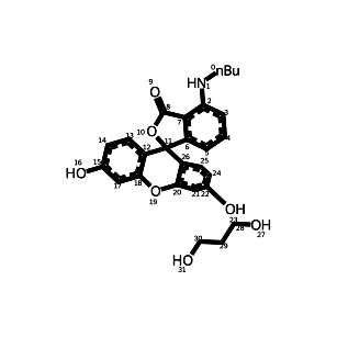 CCCCNc1cccc2c1C(=O)OC21c2ccc(O)cc2Oc2cc(O)ccc21.OCCCO